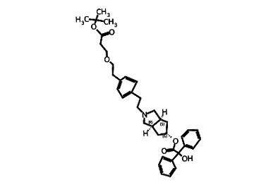 CC(C)(C)OC(=O)CCOCCc1ccc(CCN2C[C@H]3C[C@H](OC(=O)C(O)(c4ccccc4)c4ccccc4)C[C@H]3C2)cc1